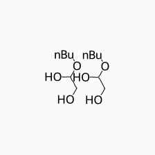 CCCCOC(O)CO.CCCCOC(O)CO